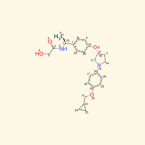 C[C@H](NC(=O)CO)c1ccc(O[C@@H]2CCN(c3ccc(OCC4CC4)cc3)C2)cc1